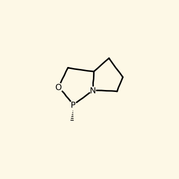 C[P@]1OCC2CCCN21